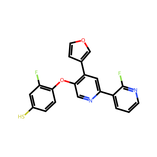 Fc1cc(S)ccc1Oc1cnc(-c2cccnc2F)cc1-c1ccoc1